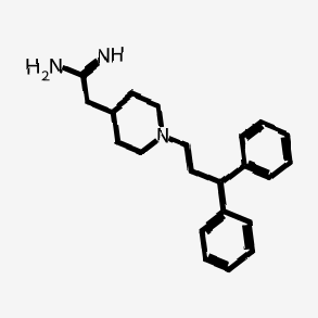 N=C(N)CC1CCN(CCC(c2ccccc2)c2ccccc2)CC1